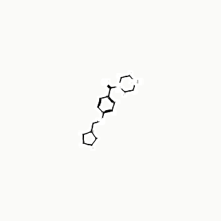 O=C(c1ccc(OCC2CCCC2)cc1)N1CCNCC1